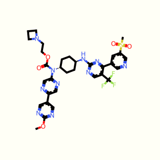 COc1ncc(-c2cnc(N(C(=O)OCCN3CCC3)[C@H]3CC[C@H](Nc4ncc(C(F)(F)F)c(-c5cncc(S(C)(=O)=O)c5)n4)CC3)cn2)cn1